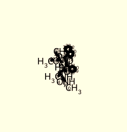 CCNC(=O)NN(C)CC(=O)N[C@H](C(=O)N(Cc1cccc2ccccc12)[C@@H](C)C(OCC)OCC)c1ccccc1